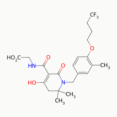 Cc1cc(CN2C(=O)C(C(=O)NCC(=O)O)=C(O)CC2(C)C)ccc1OCCCC(F)(F)F